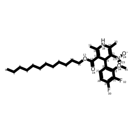 CCCCCCCCCCCCOC(=O)C1=C(C)NC(C)=C([N+](=O)[O-])C1c1ccc(F)c(F)c1OC